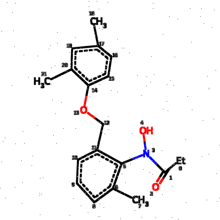 CCC(=O)N(O)c1c(C)cccc1COc1ccc(C)cc1C